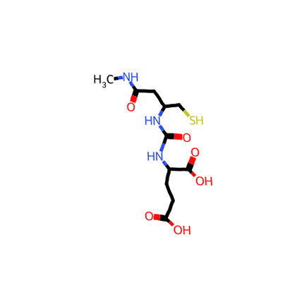 CNC(=O)CC(CS)NC(=O)NC(CCC(=O)O)C(=O)O